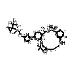 CC1(C)C[C@@H]2CCCNc3cccc(n3)S(=O)(=O)NC(=O)c3ccc(-n4ccc(OCS(C)(C)C5(C(F)(F)F)CC5)n4)nc3N1C2